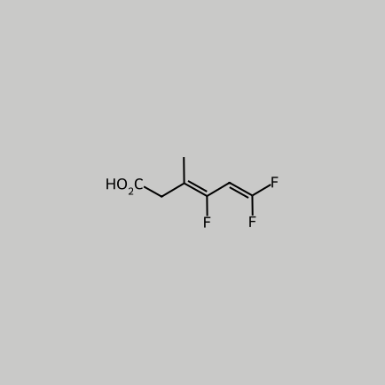 C/C(CC(=O)O)=C(/F)C=C(F)F